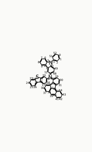 c1ccc(-n2c3ccccc3c3cc(N(c4ccc5c(c4)sc4ccccc45)c4cccc5c4-c4cccc6cc7ccccc7c-5c46)ccc32)cc1